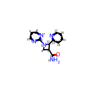 NC(=O)C1CN(c2ncccn2)C1c1ccccn1